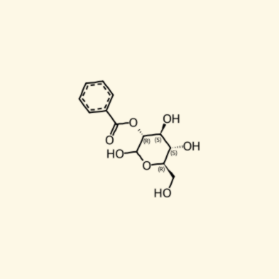 O=C(O[C@H]1C(O)O[C@H](CO)[C@@H](O)[C@@H]1O)c1ccccc1